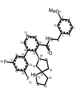 COc1cccc(CNC(=O)c2cncc(-c3cc(F)cc(F)c3)c2N2CCC3(CCCN3)C2)c1